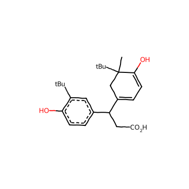 CC(C)(C)c1cc(C(CC(=O)O)C2=CC=C(O)C(C)(C(C)(C)C)C2)ccc1O